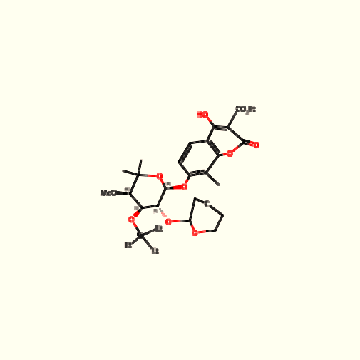 CCOC(=O)c1c(O)c2ccc(O[C@@H]3OC(C)(C)[C@H](OC)[C@H](O[Si](CC)(CC)CC)[C@H]3OC3CCCCO3)c(C)c2oc1=O